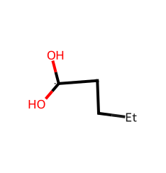 [CH2]CCC[C](O)O